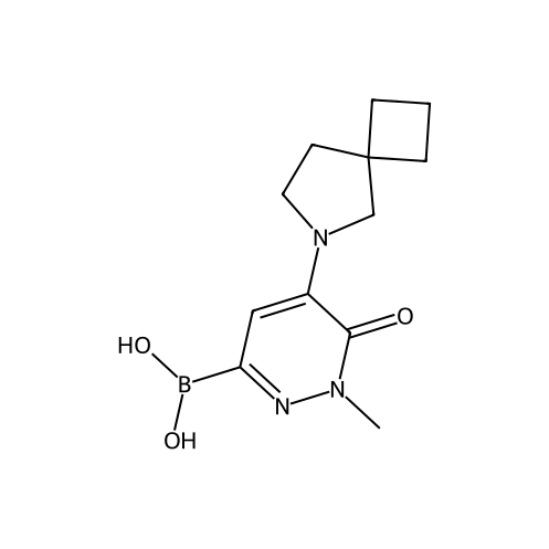 Cn1nc(B(O)O)cc(N2CCC3(CCC3)C2)c1=O